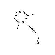 Cc1cccc(C)c1C#CCO